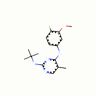 COc1cc(Nc2nc(NC(C)(C)C)ncc2C)ccc1F